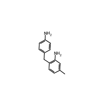 Cc1ccc(Cc2ccc(N)cc2)c(N)c1